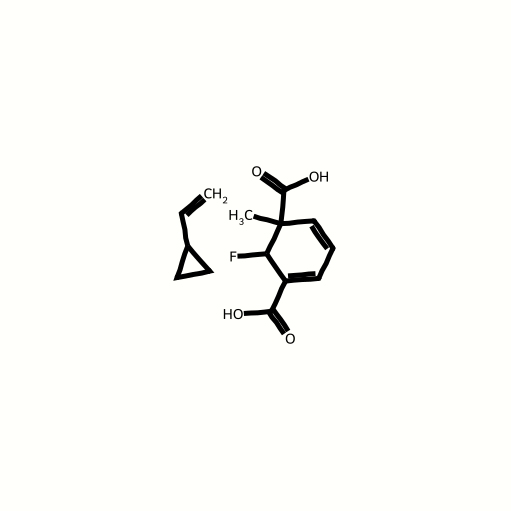 C=CC1CC1.CC1(C(=O)O)C=CC=C(C(=O)O)C1F